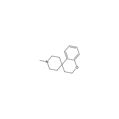 CN1CCC2(CCOc3ccccc32)CC1